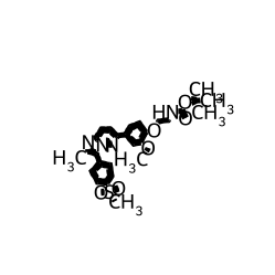 COc1cc(-c2ccc3nc(C)c(-c4ccc(S(C)(=O)=O)cc4)n3n2)ccc1OCCNC(=O)OC(C)(C)C